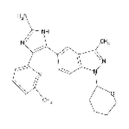 Cc1cccc(-c2nc(N)[nH]c2-c2ccc3c(c2)c(C)nn3C2CCCCO2)n1